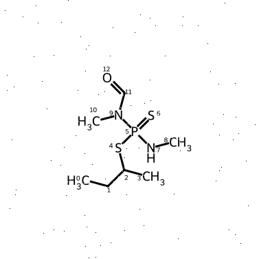 CCC(C)SP(=S)(NC)N(C)C=O